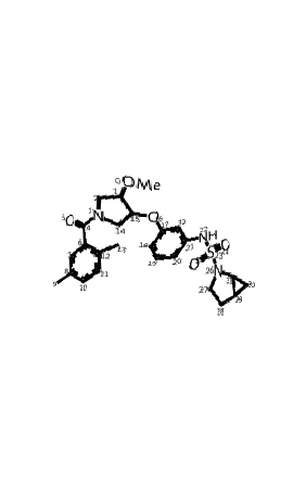 COC1CN(C(=O)c2cc(C)ccc2C)CC1Oc1cccc(NS(=O)(=O)N2CCC3CC32)c1